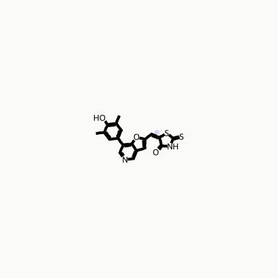 Cc1cc(-c2cncc3cc(/C=C4/SC(=S)NC4=O)oc23)cc(C)c1O